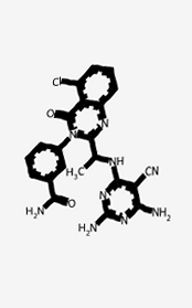 CC(Nc1nc(N)nc(N)c1C#N)c1nc2cccc(Cl)c2c(=O)n1-c1cccc(C(N)=O)c1